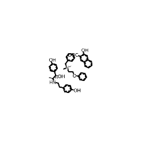 C[C@H](NCCc1ccc(O)cc1)[C@H](O)c1ccc(O)cc1.C[N+](C)(CCOc1ccccc1)Cc1ccccc1.O=C([O-])c1cc2ccccc2cc1O